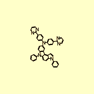 c1ccc(-n2ccc3c4c5cc(N(c6ccc(-c7ncccn7)cc6)c6ccc(-c7ncccn7)cc6)ccc5n(-c5ccccc5)c4ccc32)cc1